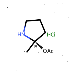 CC(=O)O[C@]1(C)CCCN1.Cl